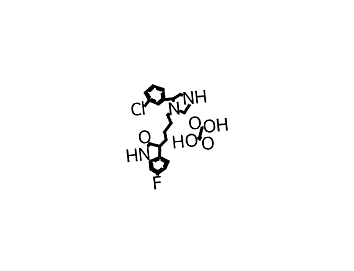 O=C(O)C(=O)O.O=C1Nc2cc(F)ccc2C1CCCCN1CCNCC1c1cccc(Cl)c1